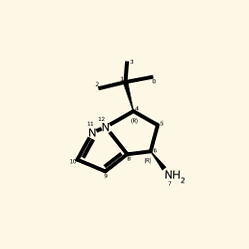 CC(C)(C)[C@H]1C[C@@H](N)c2ccnn21